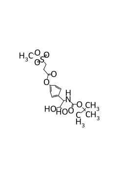 COS(=O)(=O)CCC(=O)Oc1ccc(C(NC(=O)OC(C)(C)C)C(O)O)cc1